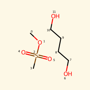 COS(C)(=O)=O.OCCCCO